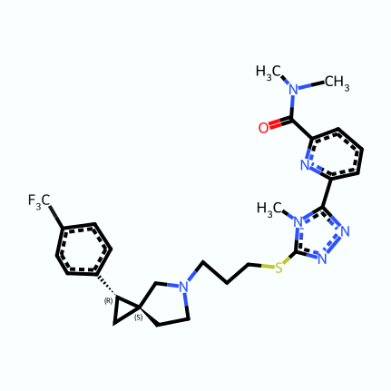 CN(C)C(=O)c1cccc(-c2nnc(SCCCN3CC[C@]4(C[C@@H]4c4ccc(C(F)(F)F)cc4)C3)n2C)n1